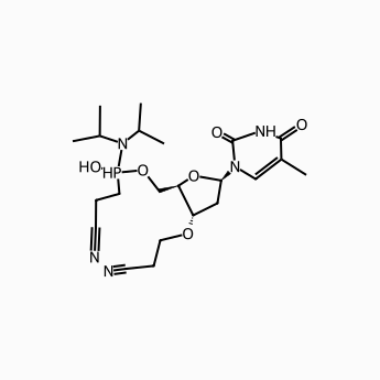 Cc1cn([C@H]2C[C@H](OCCC#N)[C@@H](CO[PH](O)(CCC#N)N(C(C)C)C(C)C)O2)c(=O)[nH]c1=O